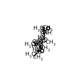 CCC[C@@H](NC(=O)[C@@H]1[C@H]2[C@H](CN1C(=O)[C@@H](NC(=O)OCC(C)C)C1(C)CCCCC1)C2(C)C)C(=O)C(=O)NCC(=O)N[C@H](C(=O)N(C)C)c1ccccc1